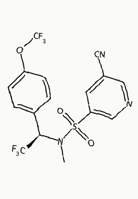 CN([C@H](c1ccc(OC(F)(F)F)cc1)C(F)(F)F)S(=O)(=O)c1cncc(C#N)c1